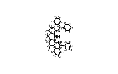 Cc1cc(N=C(c2ccccc2)c2ccccc2)c2c(c1)C(C)(C)c1cc(C)cc(N=C(c3ccccc3)c3ccccc3)c1N2